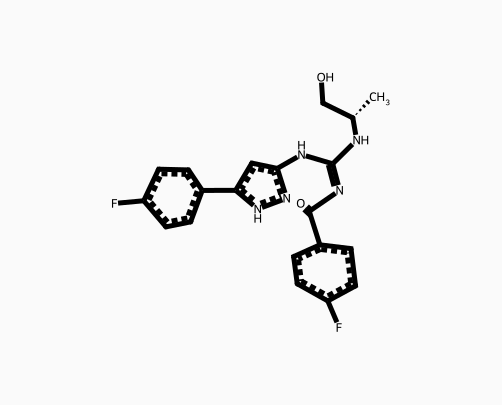 C[C@@H](CO)N/C(=N/C(=O)c1ccc(F)cc1)Nc1cc(-c2ccc(F)cc2)[nH]n1